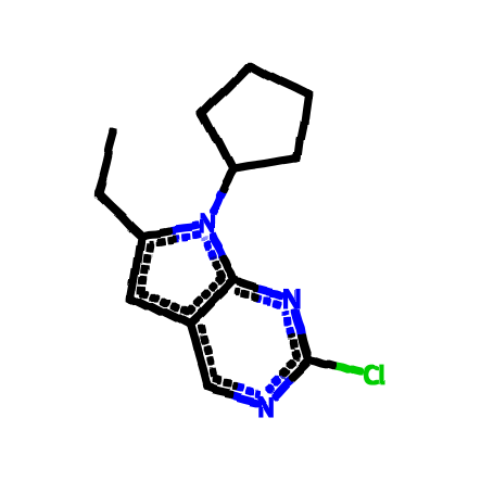 CCc1cc2cnc(Cl)nc2n1C1CCCC1